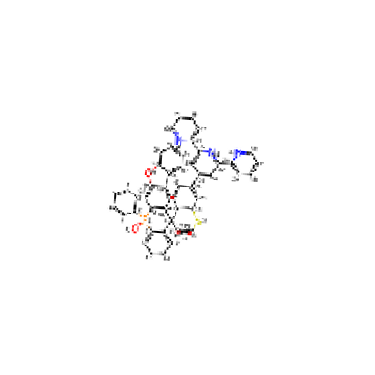 O=P1(c2ccccc2)c2ccccc2C2(c3ccccc3Sc3cc(-c4cc(-c5ccccn5)nc(-c5ccccn5)c4)ccc32)c2cc3c(cc21)oc1ccccc13